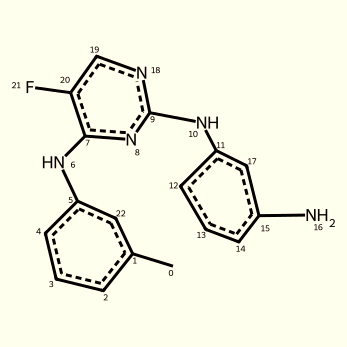 Cc1cccc(Nc2nc(Nc3cccc(N)c3)ncc2F)c1